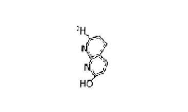 [2H]c1ccc2ccc(O)nc2n1